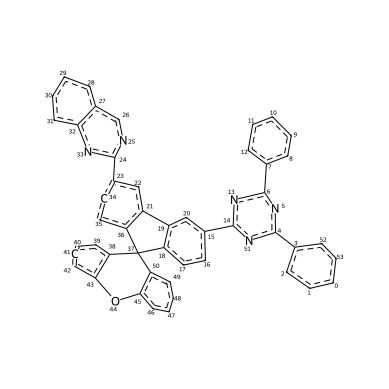 c1ccc(-c2nc(-c3ccccc3)nc(-c3ccc4c(c3)-c3cc(-c5ncc6ccccc6n5)ccc3C43c4ccccc4Oc4ccccc43)n2)cc1